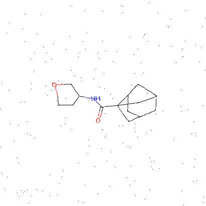 O=C(NC1CCOC1)C12CC3CC(CC1C3)C2